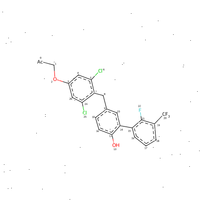 CC(=O)COc1cc(Cl)c(Cc2ccc(O)c(-c3cccc(C(F)(F)F)c3F)c2)c(Cl)c1